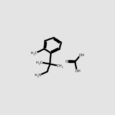 Cc1ccccc1C(C)(C)CN.O=C(O)O